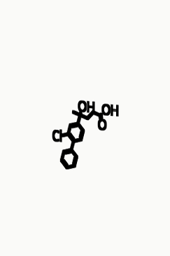 CC(O)(CCC(=O)O)c1ccc(-c2ccccc2)c(Cl)c1